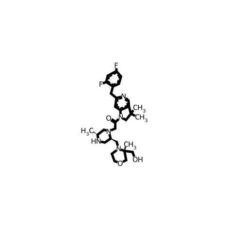 C[C@@H]1CN(CC(=O)N2CC(C)(C)c3cnc(Cc4ccc(F)cc4F)cc32)[C@@H](CN2CCOC[C@@]2(C)CO)CN1